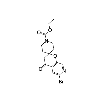 CCOC(=O)N1CCC2(CC1)CC(=O)c1cc(Br)ncc1O2